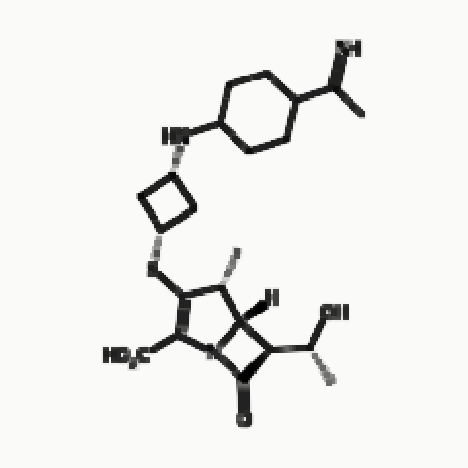 CC(=N)C1CCC(N[C@H]2C[C@@H](SC3=C(C(=O)O)N4C(=O)[C@H]([C@@H](C)O)[C@H]4[C@H]3C)C2)CC1